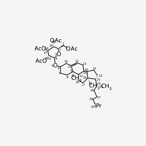 CC(=O)OC[C@H]1OC(OC2CC[C@@]3(C)C(=CCC4C3CC[C@@]3(C)C4CC[C@@H]3[C@H](C)CCCC(C)C)C2)[C@H](OC(C)=O)[C@@H](OC(C)=O)[C@@H]1OC(C)=O